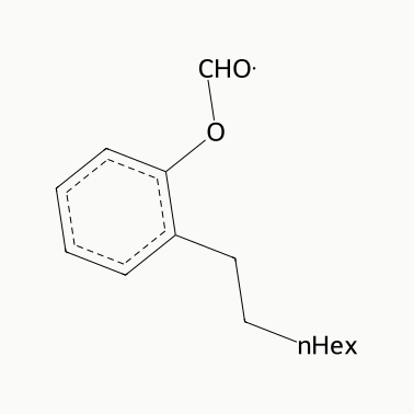 CCCCCCCCc1ccccc1O[C]=O